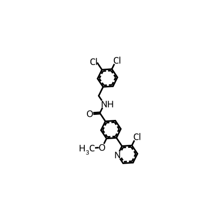 COc1cc(C(=O)NCc2ccc(Cl)c(Cl)c2)ccc1-c1ncccc1Cl